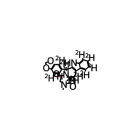 [2H]c1c([2H])c([C@]2([2H])c3[nH]c4c([2H])c([2H])c([2H])c([2H])c4c3C([2H])([2H])[C@]3([2H])C(=O)N(C)CC(=O)N23)c([2H])c2c1OCO2